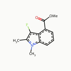 COC(=O)c1cccc2c1c(F)c(C)n2C